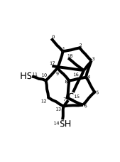 CC1CC2C3CC4CC3C1C(S)CC4(S)CC2(C)C